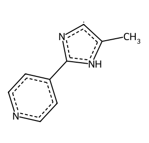 Cc1[c]nc(-c2ccncc2)[nH]1